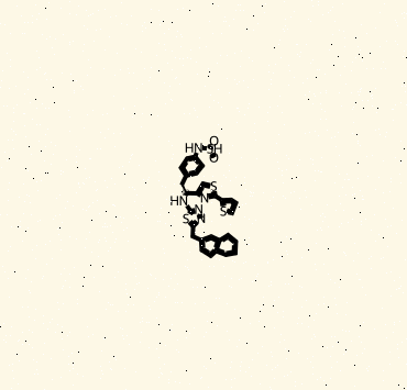 O=[SH](=O)Nc1ccc(C[C@H](Nc2nnc(Cc3ccc4ccccc4c3)s2)c2csc(-c3cccs3)n2)cc1